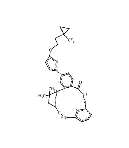 CC1(C)CC2CNc3cccc(n3)SNC(=O)c3ccc(-n4ccc(OCCC5(C(F)(F)F)CC5)n4)nc3N1C2